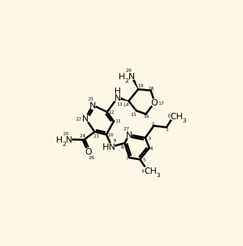 CCCc1cc(C)cc(Nc2cc(N[C@@H]3CCOC[C@@H]3N)nnc2C(N)=O)n1